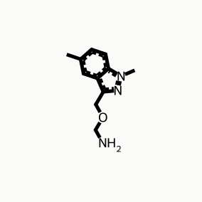 Cc1ccc2c(c1)c(COCN)nn2C